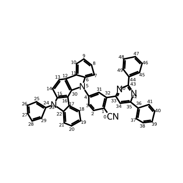 N#Cc1ccc(-n2c3ccccc3c3ccc4c(c5ccccc5n4-c4ccccc4)c32)cc1-c1cc(-c2ccccc2)nc(-c2ccccc2)n1